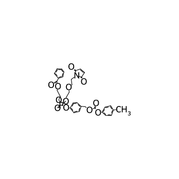 Cc1ccc(OC(=O)OCc2ccc(OP(=O)(OCCOCCN3C(=O)C=CC3=O)OCCOC(=O)c3ccccc3)cc2)cc1